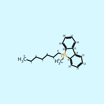 CCCCCCC[P]1(C)c2ccccc2-c2ccccc21